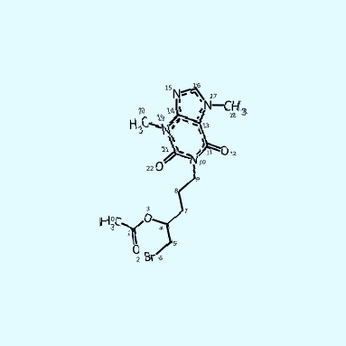 CC(=O)OC(CBr)CCCn1c(=O)c2c(ncn2C)n(C)c1=O